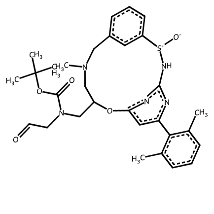 Cc1cccc(C)c1-c1cc2nc(n1)N[S+]([O-])c1cccc(c1)CN(C)CC(CN(CC=O)C(=O)OC(C)(C)C)O2